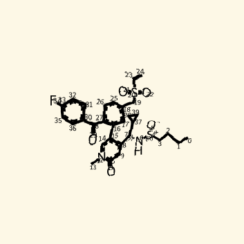 CCCC[S@+]([O-])N[C@H](c1cc(=O)n(C)cc1-c1cc(CS(=O)(=O)CC)ccc1C(=O)c1ccc(F)cc1)C1CC1